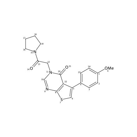 COc1ccc(-c2csc3ncn(CC(=O)N4CCCC4)c(=O)c23)cc1